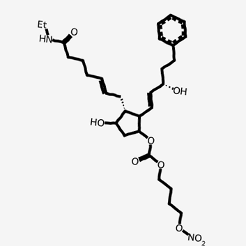 CCNC(=O)CCCC=CC[C@H]1C(O)CC(OC(=O)OCCCCO[N+](=O)[O-])C1C=C[C@@H](O)CCc1ccccc1